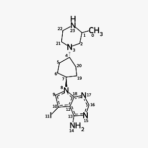 CC1CN([C@H]2CC[C@H](n3cc(I)c4c(N)ncnc43)CC2)CCN1